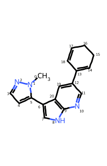 Cn1nccc1-c1c[nH]c2ncc(C3=CCCC=C3)cc12